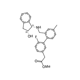 COC(=O)Cc1ccc(F)c(-c2ccc(C)cc2CN[C@H]2c3ccccc3C[C@H]2O)c1